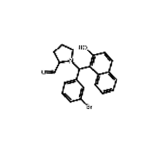 O=CC1CCCN1C(c1cccc(Br)c1)c1c(O)ccc2ccccc12